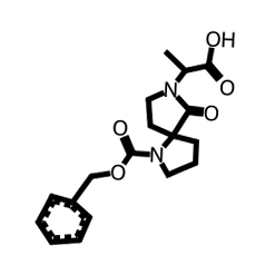 CC(C(=O)O)N1CCC2(CCCN2C(=O)OCc2ccccc2)C1=O